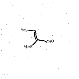 CSC=C(C=O)SC